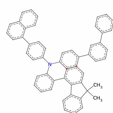 CC1(C)c2ccccc2-c2c(-c3ccccc3N(c3ccc(-c4cccc(-c5ccccc5)c4)cc3)c3ccc(-c4cccc5ccccc45)cc3)cccc21